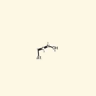 CCC=C=NO